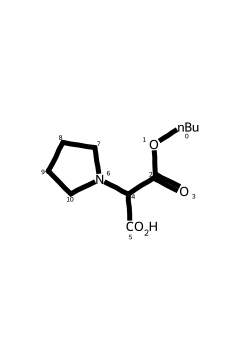 CCCCOC(=O)C(C(=O)O)N1CCCC1